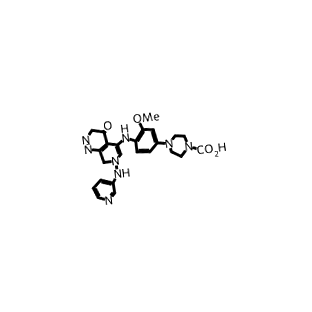 COc1cc(N2CCN(C(=O)O)CC2)ccc1NC1=CN(Nc2cccnc2)CC2=C1C(=O)CN=N2